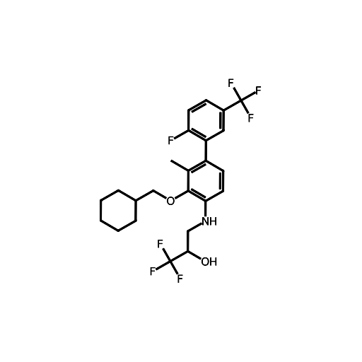 Cc1c(-c2cc(C(F)(F)F)ccc2F)ccc(NCC(O)C(F)(F)F)c1OCC1CCCCC1